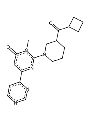 Cn1c(N2CCCC(C(=O)C3CCC3)C2)nc(-c2ccncn2)cc1=O